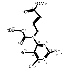 COC(=O)/C=C/CN(C(=O)OC(C)(C)C)c1nc(N)nc(Cl)c1Br